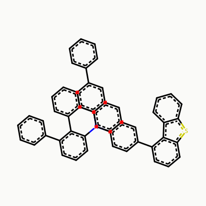 c1ccc(-c2ccc(N(c3ccc(-c4cccc5sc6ccccc6c45)cc3)c3cccc(-c4ccccc4)c3-c3ccccc3-c3ccccc3)cc2)cc1